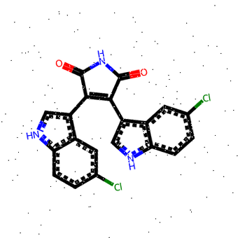 O=C1NC(=O)C(c2c[nH]c3ccc(Cl)cc23)=C1c1c[nH]c2ccc(Cl)cc12